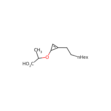 CCCCCCCCC1=CC1OC(C)C(=O)O